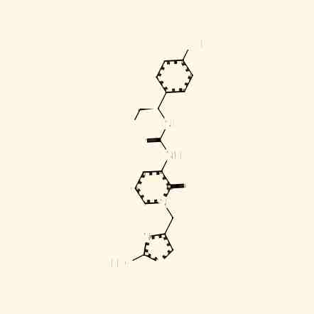 Cc1ccc([C@H](CC(=O)O)NC(=O)Nc2cccn(Cc3csc(C)n3)c2=O)cc1